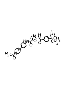 CC(=O)N1CCN(c2ccc(NC(=O)c3nnc(NC(=O)c4ccc(C(C)(C)C)cc4)o3)cc2)CC1